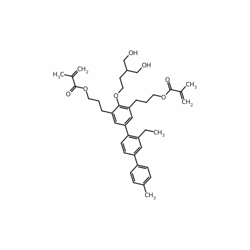 C=C(C)C(=O)OCCCc1cc(-c2ccc(-c3ccc(C)cc3)cc2CC)cc(CCCOC(=O)C(=C)C)c1OCCC(CO)CO